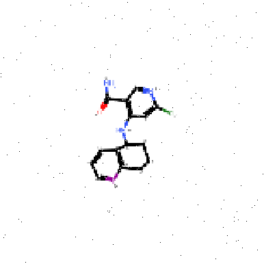 NC(=O)c1cnc(Cl)cc1NC1CCCC2=C1C=CC=I2